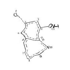 Oc1cc(Cl)cc2cccnc12